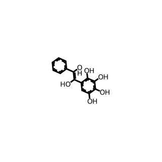 OC(=C(O)c1cc(O)c(O)c(O)c1O)c1ccccc1